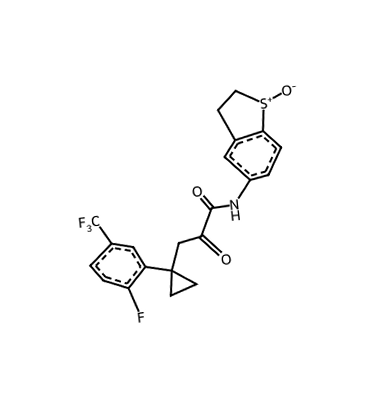 O=C(CC1(c2cc(C(F)(F)F)ccc2F)CC1)C(=O)Nc1ccc2c(c1)CC[S+]2[O-]